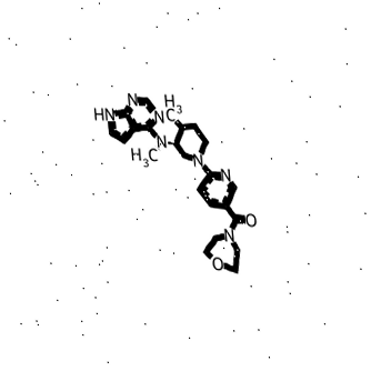 CC1CCN(c2ccc(C(=O)N3CCOCC3)cn2)C[C@@H]1N(C)c1ncnc2[nH]ccc12